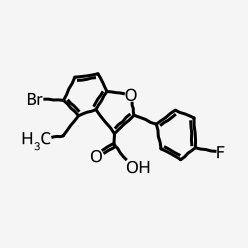 CCc1c(Br)ccc2oc(-c3ccc(F)cc3)c(C(=O)O)c12